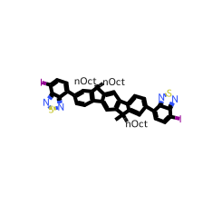 CCCCCCCCC1(C)c2cc(-c3ccc(I)c4nsnc34)ccc2-c2cc3c(cc21)-c1ccc(-c2ccc(I)c4nsnc24)cc1C3(CCCCCCCC)CCCCCCCC